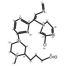 C=N/C=C(/c1nccc(N2CCN(C)C(CCCC=O)C2)n1)N1C=C(Cl)N=CC1